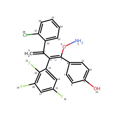 C=C(/C(=C(\ON)c1ccc(O)cc1)c1cc(F)cc(F)c1F)c1ccccc1Cl